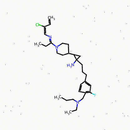 C=C/C(Cl)=C\N=C(/CC)N1CCC(C2CC2(N)CCCc2ccc(CN(CC)CCC)c(F)c2)CC1